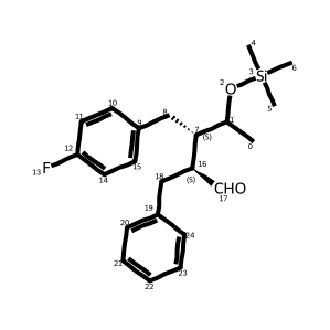 CC(O[Si](C)(C)C)[C@@H](Cc1ccc(F)cc1)[C@@H](C=O)Cc1ccccc1